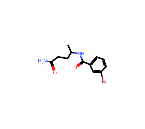 CC(CCC(N)=O)NC(=O)c1cccc(Br)c1